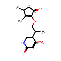 CC1=C(OCC(C)C2CNC(=O)C=C2O)C(=O)CC1C(C)C